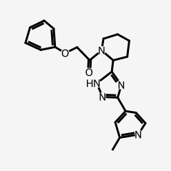 Cc1cc(-c2n[nH]c(C3CCCCN3C(=O)COc3ccccc3)n2)ccn1